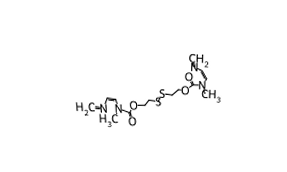 C=N/C=C\N(C)C(=O)OCCSSCCOC(=O)N(C)/C=C\N=C